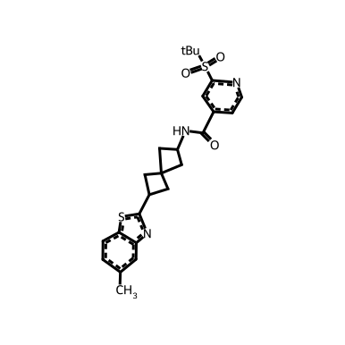 Cc1ccc2sc(C3CC4(CC(NC(=O)c5ccnc(S(=O)(=O)C(C)(C)C)c5)C4)C3)nc2c1